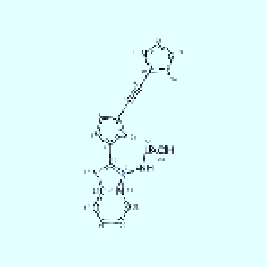 CC(C)(C)Nc1c(-c2ccc(C#Cc3nccs3)s2)nc2ccccn12.Cl